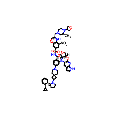 C[C@@H]1CN(C[C@@H]2COc3cc(S(=O)(=O)NC(=O)c4ccc(N5CCC6(CC5)CC(N5CCC[C@H]5c5ccccc5C5CC5)C6)cc4N4c5cc6cc[nH]c6nc5O[C@H]5COC[C@H]54)cc([N+](=O)[O-])c3N2)CCN1C1COC1